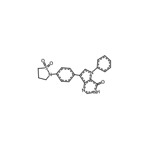 O=c1[nH]cnc2c(-c3ccc(N4CCCS4(=O)=O)cc3)cn(-c3ccccc3)c12